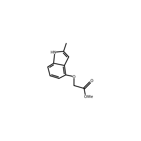 COC(=O)COc1cccc2[nH]c(C)cc12